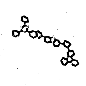 C1=Cc2c(c3ccc(-c4cccc(-c5ccc6c(c5)sc5cc(-c7ccc8c(c7)CCC(c7nc(-c9ccccc9)nc(-c9ccccc9)n7)=C8)ccc56)c4)cc3c3ccccc23)CC1